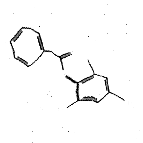 Cc1cc(C(C)(C)C)cc(O)c1OC(=O)c1ccccc1